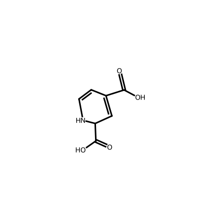 O=C(O)C1=CC(C(=O)O)NC=C1